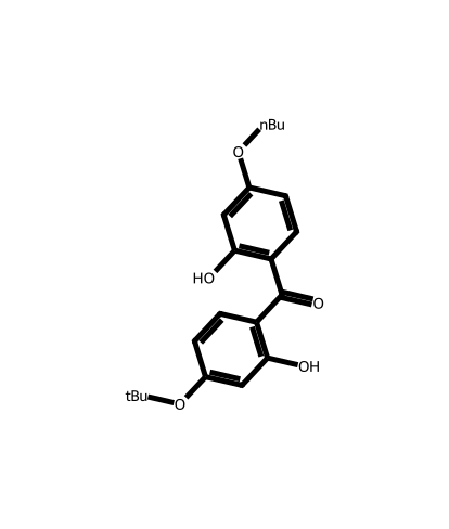 CCCCOc1ccc(C(=O)c2ccc(OC(C)(C)C)cc2O)c(O)c1